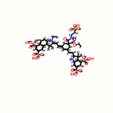 CCOC(=O)C1(C(=O)NCCS(=O)(=O)O)CC(/C=C/C2=Nc3cc(S(=O)(=O)O)cc(S(=O)(=O)O)c3C2(C)C)=CC(=C/C=C2/N(CC)c3ccc4c(S(=O)(=O)O)cc(S(=O)(=O)O)cc4c3C2(C)C)/C1